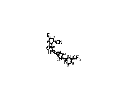 N#C[C@@H]1C[C@H](F)CN1C(=O)CNC1C2CN(c3nccc(C(F)(F)F)n3)CC21